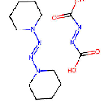 C1CCN(N=NN2CCCCC2)CC1.O=C(O)N=NC(=O)O